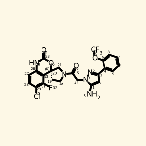 Nc1cc(-c2ccccc2OC(F)(F)F)nn1CC(=O)N1CC[C@@]2(C1)OC(=O)Nc1ccc(Cl)c(F)c12